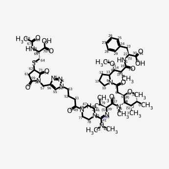 CC[C@H](C)[C@@H]([C@@H](CC(=O)N1CCCC1[C@H](OC)[C@@H](C)C(=O)N[C@@H](Cc1ccccc1)C(=O)O)OC)N(C)C(=O)[C@@H](/N=C(/N(C)C)N1CCN(C(=O)CCCn2cc(CN3C(=O)CC(SC[C@H](NC(C)=O)C(=O)O)C3=O)nn2)CC1)C(C)C